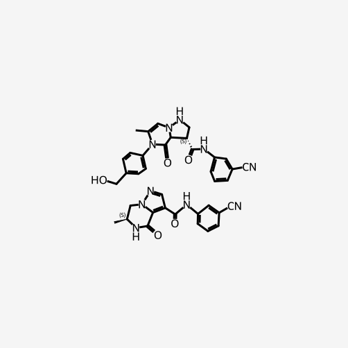 CC1=CN2NC[C@H](C(=O)Nc3cccc(C#N)c3)C2C(=O)N1c1ccc(CO)cc1.C[C@H]1Cn2ncc(C(=O)Nc3cccc(C#N)c3)c2C(=O)N1